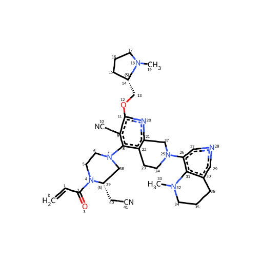 C=CC(=O)N1CCN(c2c(C#N)c(OC[C@@H]3CCCN3C)nc3c2CCN(c2cncc4c2N(C)CCC4)C3)C[C@@H]1CC#N